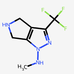 CNn1nc(C(F)(F)F)c2c1CNC2